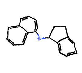 c1ccc2c(c1)CCC2Nc1cccc2ccccc12